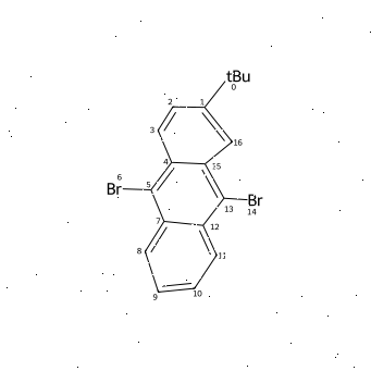 CC(C)(C)c1ccc2c(Br)c3ccccc3c(Br)c2c1